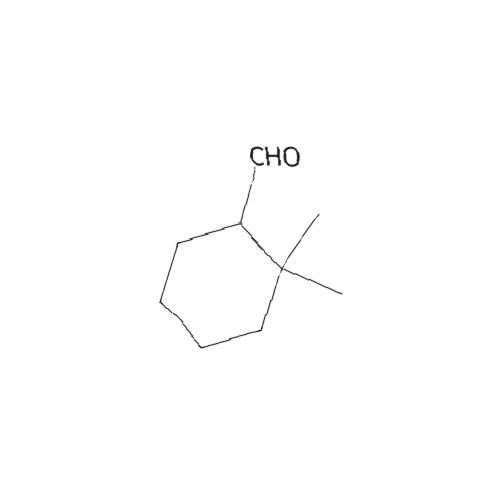 CC1(C)CCCCC1C=O